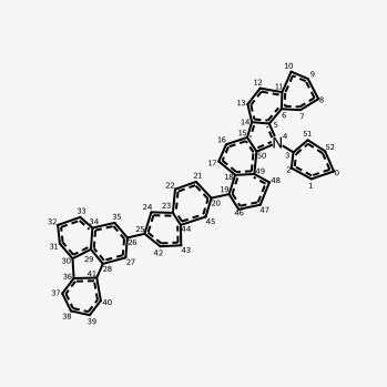 c1ccc(-n2c3c4ccccc4ccc3c3ccc4c(-c5ccc6cc(-c7cc8c9c(cccc9c7)-c7ccccc7-8)ccc6c5)cccc4c32)cc1